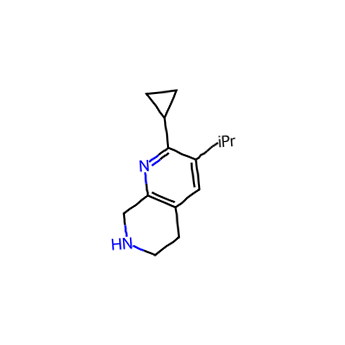 CC(C)c1cc2c(nc1C1CC1)CNCC2